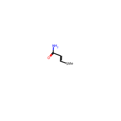 CS/C=C/C(N)=O